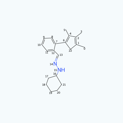 CC1=C(C)C(C)=C(c2ccccc2C=NNC2CCCCC2)C1